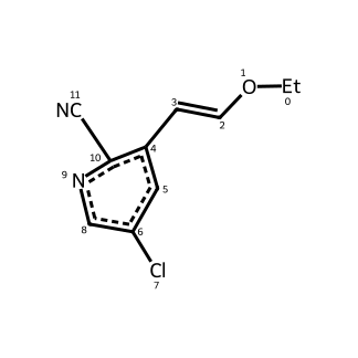 CCO/C=C/c1cc(Cl)cnc1C#N